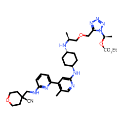 CCOC(=O)O[C@H](C)n1nnnc1COC[C@H](C)N[C@H]1CC[C@H](Nc2cc(-c3cccc(NCC4(C#N)CCOCC4)n3)c(C)cn2)CC1